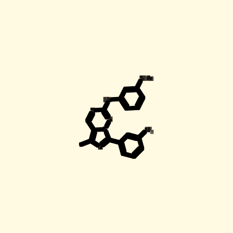 CC(=O)Nc1cccc(Nc2ncc3c(C)nc(-c4cccc(C(F)(F)F)c4)n3n2)c1